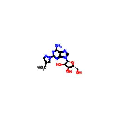 Nc1nc(-n2cc(C(=O)O)cn2)nc2c1ncn2C1O[C@H](CO)[C@@H](O)[C@H]1O